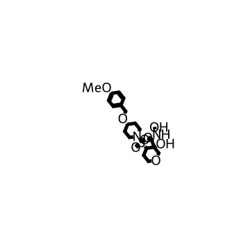 COc1ccc(COC2CCN(S(=O)(=O)C3CCOCC3(O)C(=O)NO)CC2)cc1